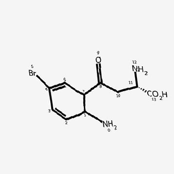 NC1C=CC(Br)=CC1C(=O)C[C@H](N)C(=O)O